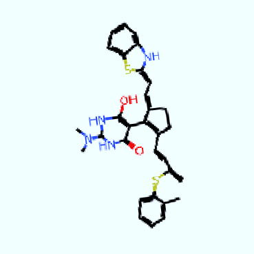 C=C(/C=C/C1=C(C2=C(O)NC(N(C)C)NC2=O)C(=C/C=C2/Nc3ccccc3S2)/CC1)Sc1ccccc1C